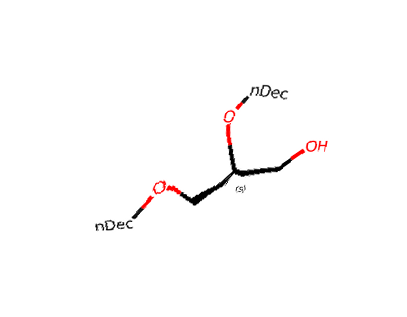 CCCCCCCCCCOC[C@H](CO)OCCCCCCCCCC